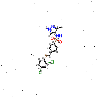 Cc1nn(C)c(C)c1NS(=O)(=O)c1ccc(CSc2ccc(Cl)cc2Cl)cc1